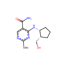 CSc1ncc(C(N)=O)c(N[C@@H]2CCC[C@@H]2CO)n1